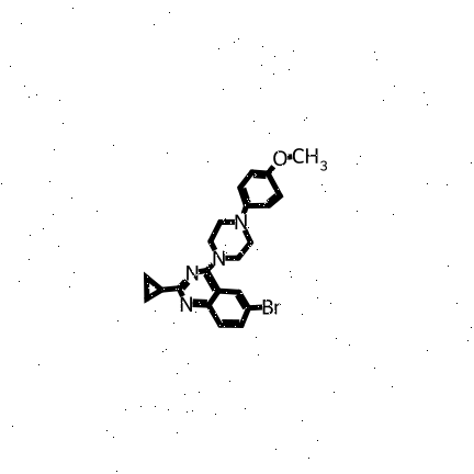 COc1ccc(N2CCN(c3nc(C4CC4)nc4ccc(Br)cc34)CC2)cc1